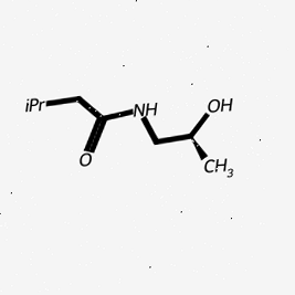 CC(C)CC(=O)NC[C@H](C)O